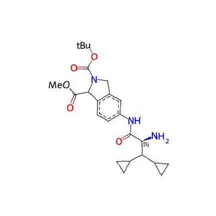 COC(=O)C1c2ccc(NC(=O)[C@@H](N)C(C3CC3)C3CC3)cc2CN1C(=O)OC(C)(C)C